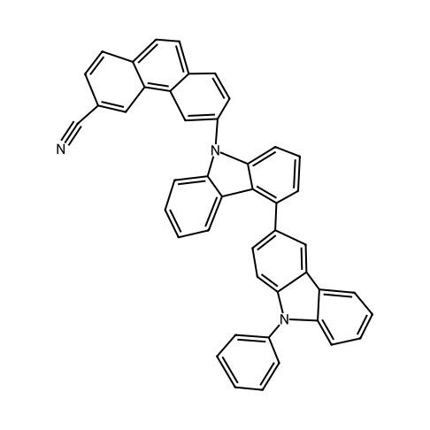 N#Cc1ccc2ccc3ccc(-n4c5ccccc5c5c(-c6ccc7c(c6)c6ccccc6n7-c6ccccc6)cccc54)cc3c2c1